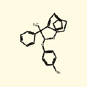 CCC(C)c1ccc(OC(OC2CCCC2)C(C)(c2ccccc2)c2ccccc2)cc1